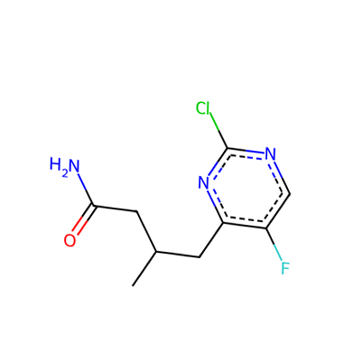 CC(CC(N)=O)Cc1nc(Cl)ncc1F